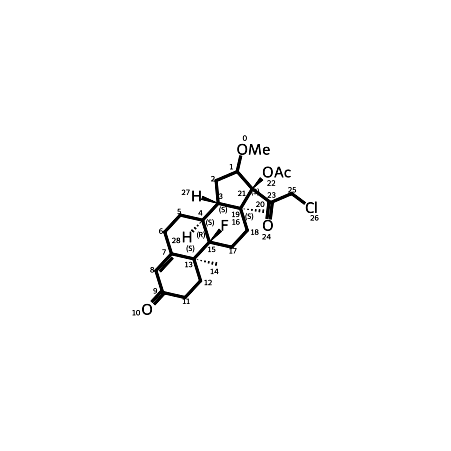 COC1C[C@H]2[C@@H]3CCC4=CC(=O)CC[C@]4(C)[C@@]3(F)CC[C@]2(C)[C@@]1(OC(C)=O)C(=O)CCl